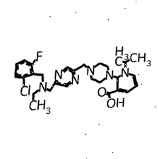 CCN(Cc1cnc(CN2CCN(C3C(C(=O)O)=CC=CN3C(C)C)CC2)cn1)Cc1c(F)cccc1Cl